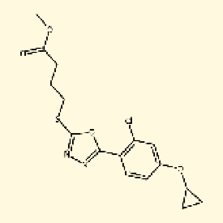 COC(=O)CCCSc1nnc(-c2ccc(OC3CC3)cc2Cl)o1